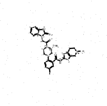 C[C@@H]1CN(c2ccc(F)cc2C(=O)Nc2nc3c(s2)CN(C)CC3)CCN1C(=O)Cn1c(=O)[nH]c2ccccc21